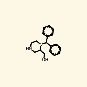 OCC1CNCCN1C(c1ccccc1)c1ccccc1